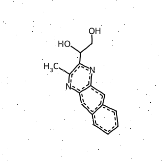 Cc1nc2cc3ccccc3cc2nc1C(O)CO